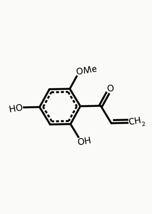 C=CC(=O)c1c(O)cc(O)cc1OC